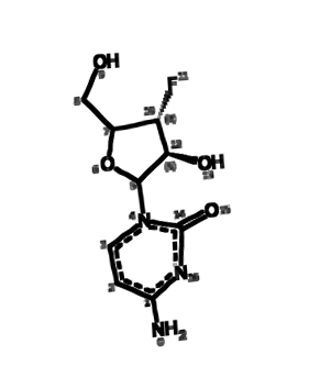 Nc1ccn(C2OC(CO)[C@H](F)[C@H]2O)c(=O)n1